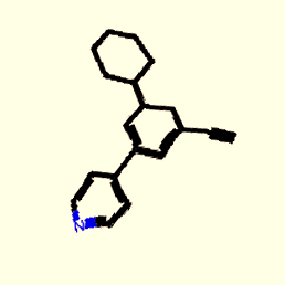 C#CC1=CC(c2ccncc2)=CC(C2CCCCC2)C1